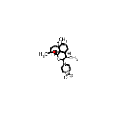 C[C@H]1[C@@H](N2CCS(=O)(=O)CC2)O[C@@H]2OC3(C)CC[C@H]4[C@H](C)CC[C@@H]1[C@@]24OO3